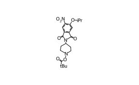 CC(C)Oc1cc2c(cc1[N+](=O)[O-])C(=O)N(C1CCN(OC(=O)C(C)(C)C)CC1)C2=O